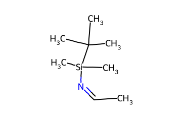 C/C=N\[Si](C)(C)C(C)(C)C